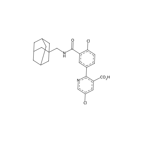 O=C(NCC12CC3CC(CC(C3)C1)C2)c1cc(-c2ncc(Cl)cc2C(=O)O)ccc1Cl